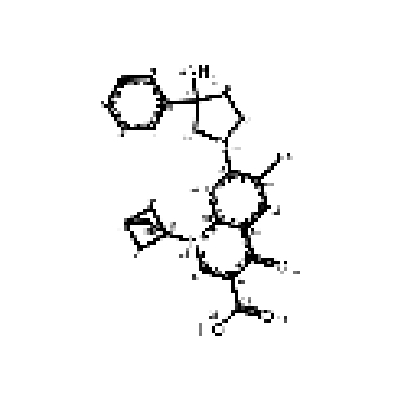 NC1(c2ccccc2)CCN(c2nc3c(cc2F)c(=O)c(C(=O)O)cn3C23CC(C2)C3)C1